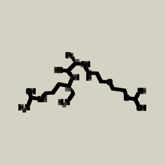 CC(C)[C@H](NNCCOCCOC(O)S)C(S)N[C@H](CN)CCCNC(N)O